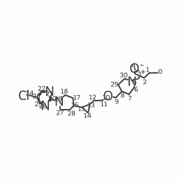 CCC[S+]([O-])N1CCC(COCCC2CC2C2CCN(c3ncc(Cl)cn3)CC2)CC1